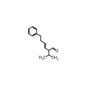 CC(C)C([C]=O)C=CCCc1ccccc1